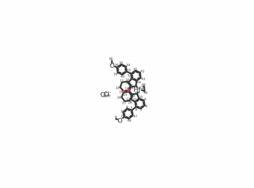 COc1ccc(-c2cccc3c2C=C(C2CCCCC2)[CH]3[Hf+2]2([CH]3C(C4CCCCC4)=Cc4c(-c5ccc(OC)cc5)cccc43)[CH2][CH2]2)cc1.[Cl-].[Cl-]